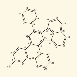 Fc1ccc(-c2nc(-c3ccccc3)c3c(c2-c2ccccc2)-c2cccc4cccc-3c24)cc1